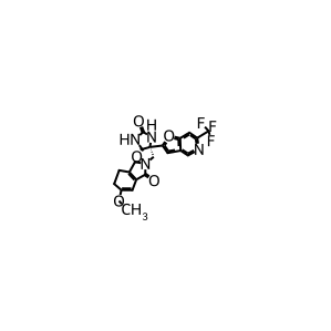 COC1=CC2=C(CC1)CN(C[C@@]1(c3cc4cnc(C(F)(F)F)cc4o3)NC(=O)NC1=O)C2=O